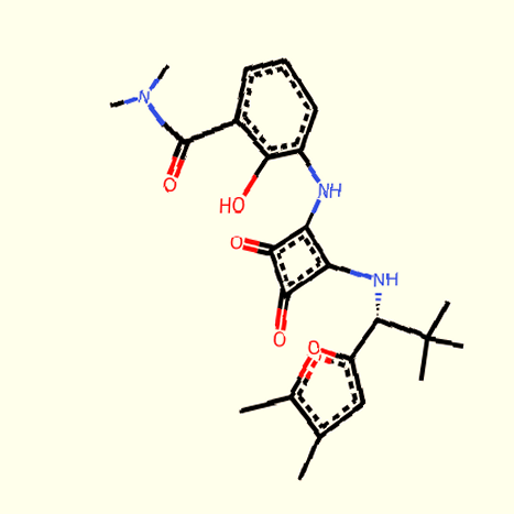 Cc1cc([C@H](Nc2c(Nc3cccc(C(=O)N(C)C)c3O)c(=O)c2=O)C(C)(C)C)oc1C